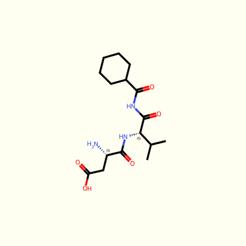 CC(C)[C@H](NC(=O)[C@@H](N)CC(=O)O)C(=O)NC(=O)C1CCCCC1